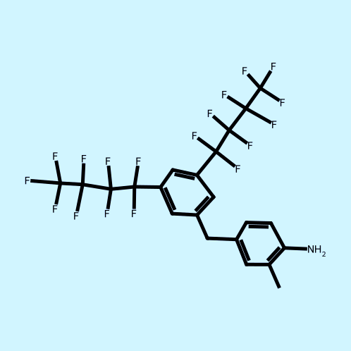 Cc1cc(Cc2cc(C(F)(F)C(F)(F)C(F)(F)C(F)(F)F)cc(C(F)(F)C(F)(F)C(F)(F)C(F)(F)F)c2)ccc1N